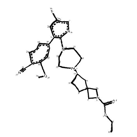 CCOC(=O)N1CC2(CC[C@@H](N3CCN(c4ncc(F)cc4-c4ccc(C#N)c(OC)c4)CC3)C2)C1